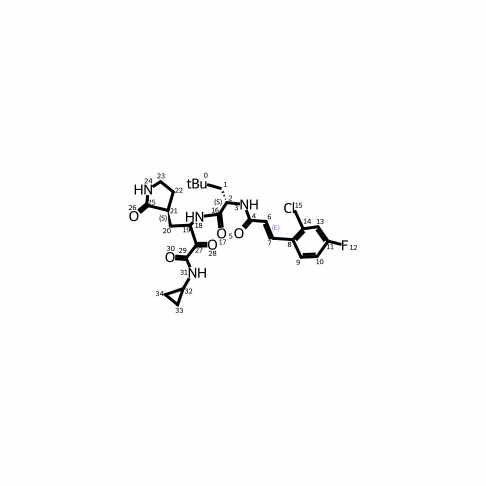 CC(C)(C)C[C@H](NC(=O)/C=C/c1ccc(F)cc1Cl)C(=O)NC(C[C@@H]1CCNC1=O)C(=O)C(=O)NC1CC1